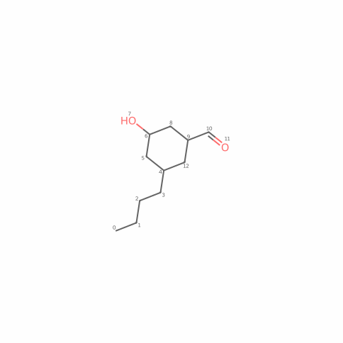 CCCCC1CC(O)CC(C=O)C1